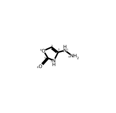 NNc1coc(=O)[nH]1